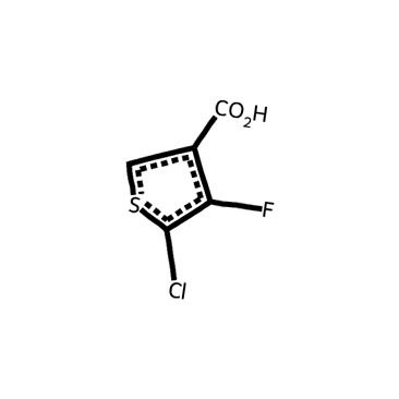 O=C(O)c1csc(Cl)c1F